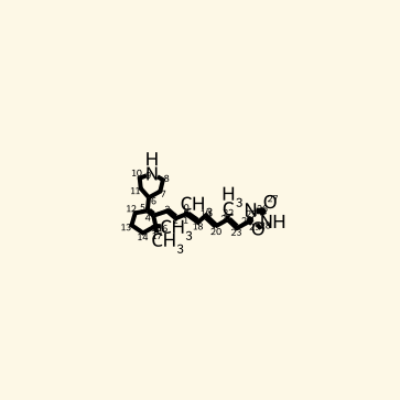 CC(/C=C/C1=C(C2CCNCC2)CCCC1(C)C)=C\C=C\C(C)=C\c1nc(=O)[nH]o1